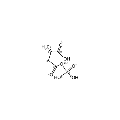 C=C(CC(=O)OP(=O)(O)O)C(=O)O